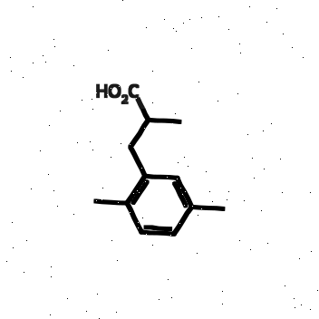 Cc1ccc(C)c(CC(C)C(=O)O)c1